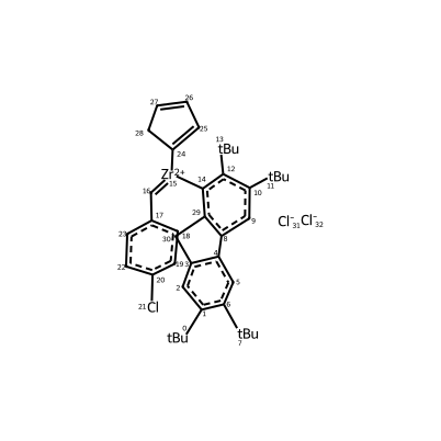 CC(C)(C)c1cc2c(cc1C(C)(C)C)-c1cc(C(C)(C)C)c(C(C)(C)C)[c](/[Zr+2](=[CH]\c3ccc(Cl)cc3)[C]3=CC=CC3)c1C2.[Cl-].[Cl-]